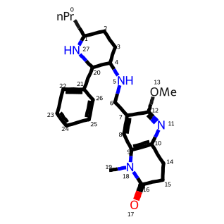 CCCC1CCC(NCc2cc3c(nc2OC)CCC(=O)N3C)C(c2ccccc2)N1